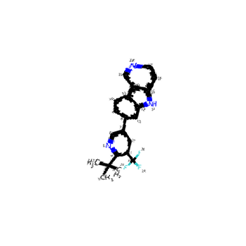 CC(C)(C)c1ncc(-c2ccc3c(c2)[nH]c2ccncc23)cc1C(F)(F)F